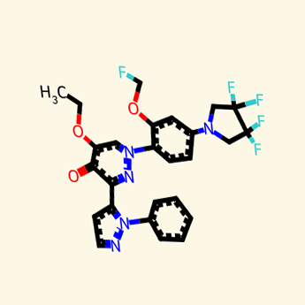 CCOc1cn(-c2ccc(N3CC(F)(F)C(F)(F)C3)cc2OCF)nc(-c2ccnn2-c2ccccc2)c1=O